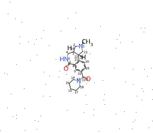 CN1C[C@@H]2CNC(=O)c3cc(C(=O)N4CCCCC4)ccc3[C@H]2C1